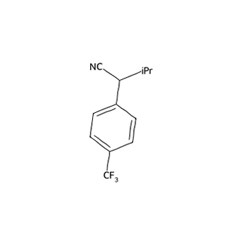 CC(C)C(C#N)c1ccc(C(F)(F)F)cc1